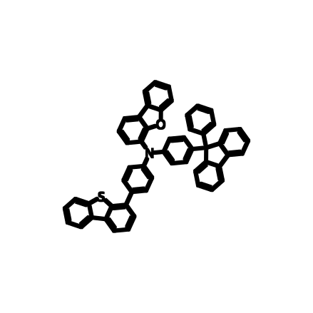 c1ccc(C2(c3ccc(N(c4ccc(-c5cccc6c5sc5ccccc56)cc4)c4cccc5c4oc4ccccc45)cc3)c3ccccc3-c3ccccc32)cc1